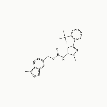 CN1N=C(c2ccccc2C(F)(F)F)CC1NC(=O)OCc1ccc2c(cnn2C)c1